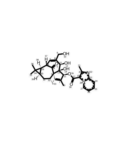 CC1=C[C@]23C(=O)[C@@H](C=C(CO)[C@@H](O)[C@]2(O)[C@H]1OC(=O)c1c(C)nc2ccccn12)[C@H]1[C@@H](C[C@H]3C)C1(C)C